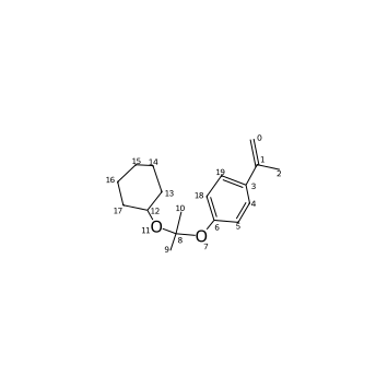 C=C(C)c1ccc(OC(C)(C)OC2CCCCC2)cc1